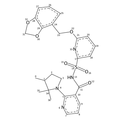 CC1CCN(c2ncccc2C(=O)NS(=O)(=O)c2cccc(OCc3cccc4c3OCO4)n2)C1(C)C